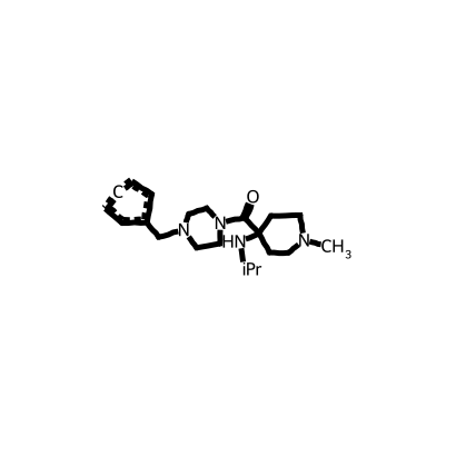 CC(C)NC1(C(=O)N2CCN(Cc3ccccc3)CC2)CCN(C)CC1